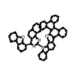 c1ccc2c(c1)ccc1c(-c3cccc4c3oc3ccccc34)nc(-n3c4ccccc4c4ccc5c(oc6c5c5ccccc5c5c7ccccc7c7ccccc7c65)c43)nc12